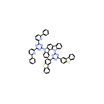 c1ccc(-c2cccc(-c3nc(-c4cccc(-c5ccccc5)n4)nc(-n4c5ccccc5c5c4ccc4c6ccccc6n(-c6nc(-c7ccc8sc9ccccc9c8c7)nc(-c7ccc8sc9ccccc9c8c7)n6)c45)n3)n2)cc1